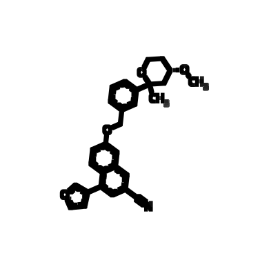 CO[C@H]1CCOC(C)(c2cccc(COc3ccc4c(-c5ccoc5)cc(C#N)cc4c3)c2)C1